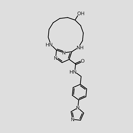 O=C(NCc1ccc(-n2ccnc2)cc1)c1cnc2nc1NCCCC(O)CCCCCN2